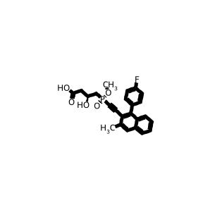 COP(=O)(C#Cc1c(C)cc2ccccc2c1-c1ccc(F)cc1)C[C@@H](O)CC(=O)O